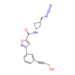 [N-]=[N+]=NC[C@H]1C[C@H](NC(=O)c2cc(-c3cccc(C#CCO)c3)no2)C1